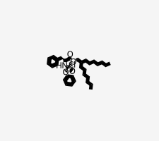 CCCCCCCC(CCCCCCC)COC(=O)[C@H](Cc1ccccc1)NP(=O)(Cl)Oc1ccccc1